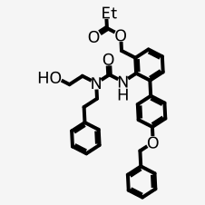 CCC(=O)OCc1cccc(-c2ccc(OCc3ccccc3)cc2)c1NC(=O)N(CCO)CCc1ccccc1